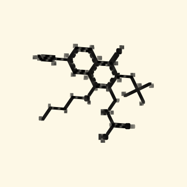 CCCCOc1c(CNC(=O)O)n(CC(C)(C)C)c(=O)c2ccc(C#N)cc12